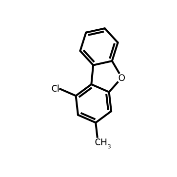 Cc1cc(Cl)c2c(c1)oc1ccccc12